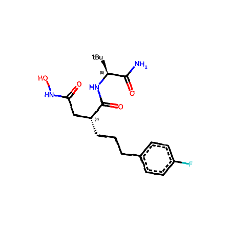 CC(C)(C)[C@H](NC(=O)[C@H](CCCc1ccc(F)cc1)CC(=O)NO)C(N)=O